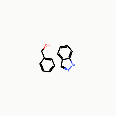 OCc1ccccc1.c1ccc2[nH]ncc2c1